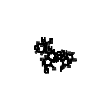 [2H]C([2H])(Oc1nc(N2CCOC[C@H]3[C@H](F)[C@H]32)c2cnc(Cl)c(C)c2n1)[C@@]12CCCN1C[C@H](F)C2